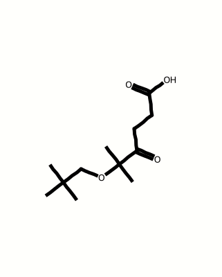 CC(C)(C)COC(C)(C)C(=O)CCC(=O)O